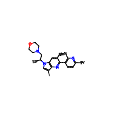 CC[C@@H](CN1CCOCC1)n1cc(C)c2nc(-c3ccc(C(C)C)nc3NC)c(C)cc21